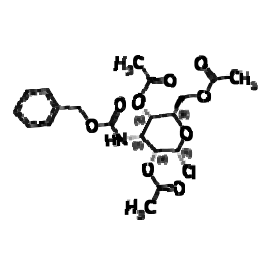 CC(=O)OC[C@H]1O[C@H](Cl)[C@H](OC(C)=O)[C@H](NC(=O)OCc2ccccc2)[C@@H]1OC(C)=O